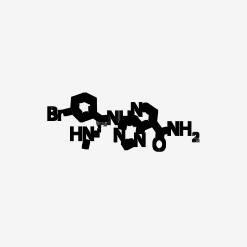 CNC[C@@H](Nc1ncnc2c(C(N)=O)ccnc12)c1cccc(Br)c1